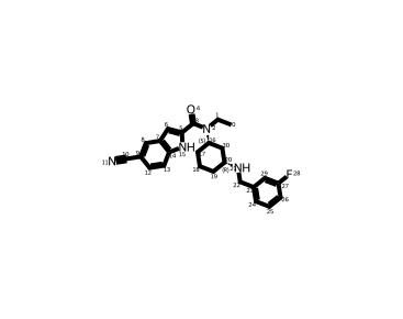 CCN(C(=O)c1cc2cc(C#N)ccc2[nH]1)[C@H]1CCC[C@@H](NCc2cccc(F)c2)C1